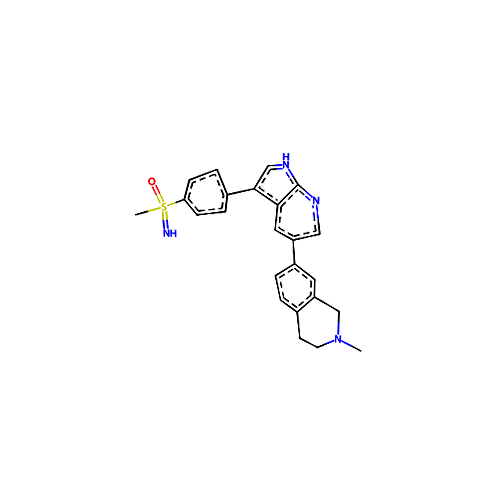 CN1CCc2ccc(-c3cnc4[nH]cc(-c5ccc(S(C)(=N)=O)cc5)c4c3)cc2C1